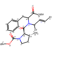 CC/C=C/C(CC)N(C(=O)[C@H]1[C@H](C)CCN1C(=O)OC(C)(C)C)C(Cc1ccccc1)C(=O)OC